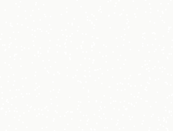 [CH2]C#CCC(C)C